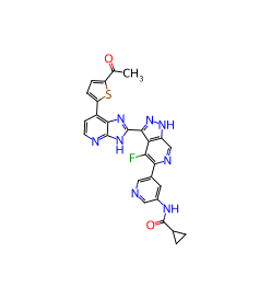 CC(=O)c1ccc(-c2ccnc3[nH]c(-c4n[nH]c5cnc(-c6cncc(NC(=O)C7CC7)c6)c(F)c45)nc23)s1